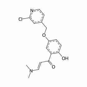 CN(C)C=CC(=O)c1cc(OCc2ccnc(Cl)c2)ccc1O